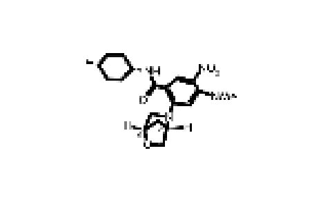 CNc1cc(N2C[C@@H]3C[C@H]2CO3)c(C(=O)N[C@H]2CC[C@H](C)CC2)cc1[N+](=O)[O-]